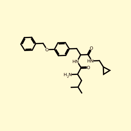 CC(C)CC(N)C(=O)NC(Cc1ccc(OCc2ccccc2)cc1)C(=O)NCC1CC1